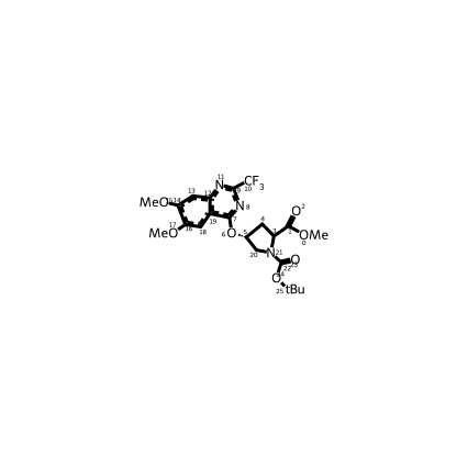 COC(=O)C1C[C@@H](Oc2nc(C(F)(F)F)nc3cc(OC)c(OC)cc23)CN1C(=O)OC(C)(C)C